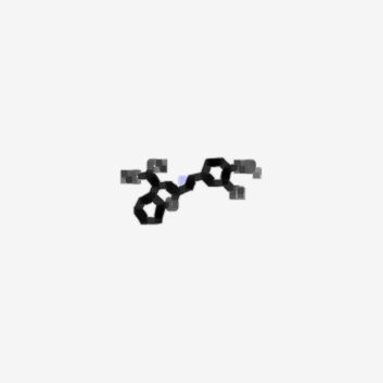 CCc1cc(/C=C/C2=CC(=C(C#N)C#N)c3ccccc3O2)ccc1[N+](=O)[O-]